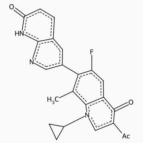 CC(=O)c1cn(C2CC2)c2c(C)c(-c3cnc4[nH]c(=O)ccc4c3)c(F)cc2c1=O